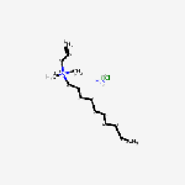 C=CC[N+](C)(C)CCCCCCCCCC.Cl.N